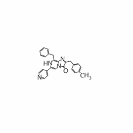 Cc1ccc(Cc2nc3c(Cc4ccccc4)[nH]c(-c4ccncc4)cn-3c2=O)cc1